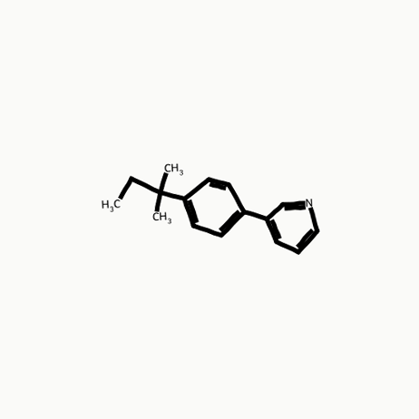 CCC(C)(C)c1ccc(-c2cccnc2)cc1